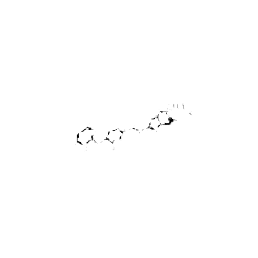 Nc1ccc2nc(NCc3ccc(Oc4ncccn4)cc3)[nH]c2c1